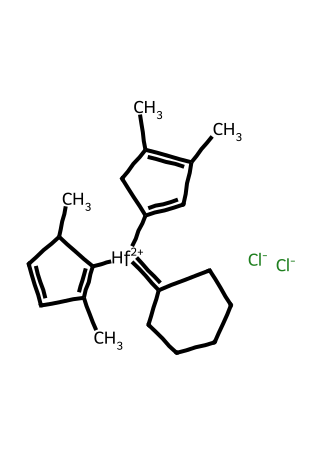 CC1=C(C)C[C]([Hf+2]([C]2=C(C)C=CC2C)=[C]2CCCCC2)=C1.[Cl-].[Cl-]